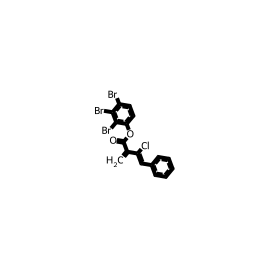 C=C(C(=O)Oc1ccc(Br)c(Br)c1Br)C(Cl)=Cc1ccccc1